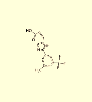 Cc1cc(-c2ncc(/C=C\C(=O)O)[nH]2)cc(C(F)(F)F)c1